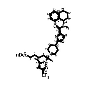 CCCCCCCCCCCCCCC(C)(N1CCC(c2nc(C(=O)N(C)C3CCCc4ccccc43)cs2)CC1)n1nc(C(F)(F)F)cc1C